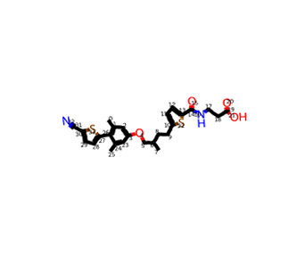 Cc1cc(OCC(C)CCc2ccc(C(=O)NCCC(=O)O)s2)cc(C)c1-c1ccc(C#N)s1